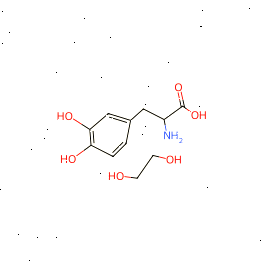 NC(Cc1ccc(O)c(O)c1)C(=O)O.OCCO